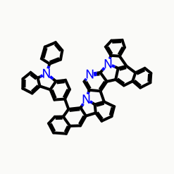 c1ccc(-n2c3ccccc3c3cc(-c4c5ccccc5cc5c6cccc7c8c9c%10cc%11ccccc%11c%11c%12ccccc%12n(c9ncc8n(c45)c67)c%10%11)ccc32)cc1